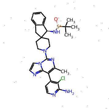 Cc1nc(N2CCC3(CC2)Cc2ccccc2[C@H]3N[S@+]([O-])C(C)(C)C)n2ccnc2c1-c1ccnc(N)c1Cl